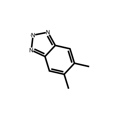 Cc1cc2c(cc1C)=N[N]N=2